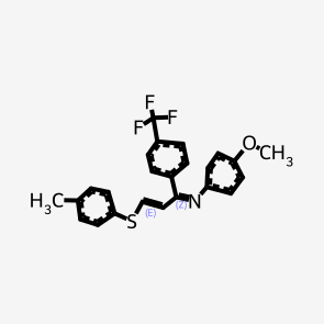 COc1ccc(/N=C(/C=C/Sc2ccc(C)cc2)c2ccc(C(F)(F)F)cc2)cc1